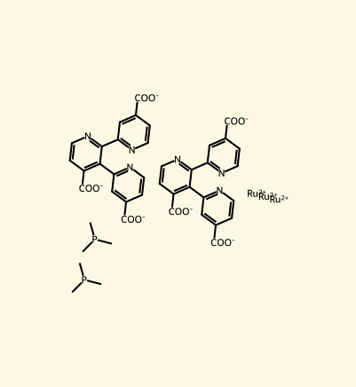 CP(C)C.CP(C)C.O=C([O-])c1ccnc(-c2nccc(C(=O)[O-])c2-c2cc(C(=O)[O-])ccn2)c1.O=C([O-])c1ccnc(-c2nccc(C(=O)[O-])c2-c2cc(C(=O)[O-])ccn2)c1.[Ru+2].[Ru+2].[Ru+2]